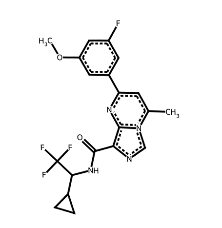 COc1cc(F)cc(-c2cc(C)n3cnc(C(=O)NC(C4CC4)C(F)(F)F)c3n2)c1